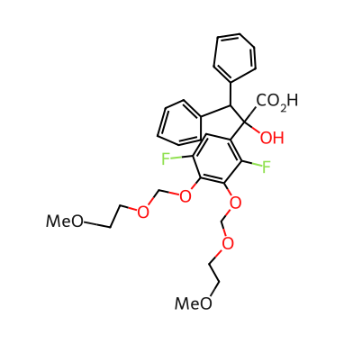 COCCOCOc1c(F)cc(C(O)(C(=O)O)C(c2ccccc2)c2ccccc2)c(F)c1OCOCCOC